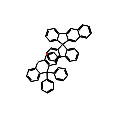 c1ccc(C2(c3ccccc3)c3ccccc3Oc3ccc(-c4ccccc4C4(c5ccccc5)c5ccccc5-c5cc6ccccc6cc54)cc32)cc1